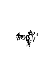 N#Cc1[nH]nnc1-c1cc(OCC2(C(F)(F)F)CC2)cc(C(F)(F)F)c1